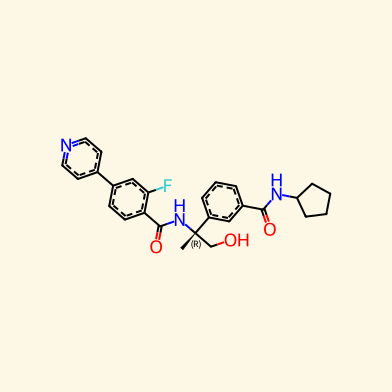 C[C@@](CO)(NC(=O)c1ccc(-c2ccncc2)cc1F)c1cccc(C(=O)NC2CCCC2)c1